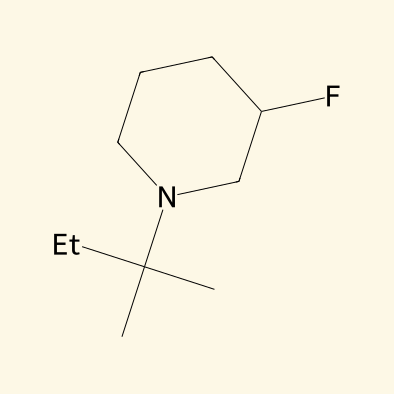 CCC(C)(C)N1CCCC(F)C1